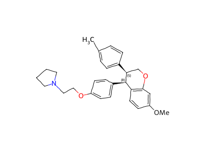 COc1ccc2c(c1)OC[C@H](c1ccc(C)cc1)[C@@H]2c1ccc(OCCN2CCCC2)cc1